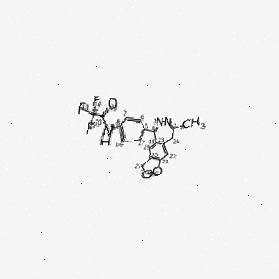 CC1=NN=C(c2ccc(NC(=O)C(F)(F)F)cc2)c2cc3c(cc2C1)OOC3